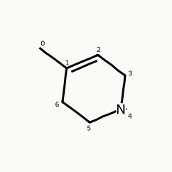 CC1=CC[N]CC1